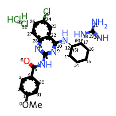 COc1ccc(C(=O)Nc2nc(N[C@H]3CCCC[C@H]3NC(=N)N)c3cc(Cl)ccc3n2)cc1.Cl.Cl